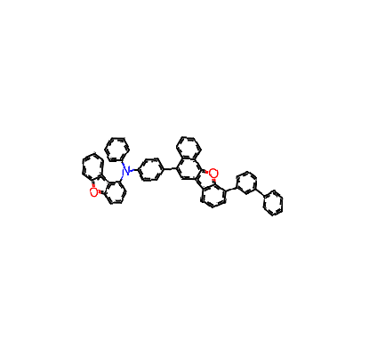 c1ccc(-c2cccc(-c3cccc4c3oc3c5ccccc5c(-c5ccc(N(c6ccccc6)c6cccc7oc8ccccc8c67)cc5)cc43)c2)cc1